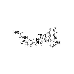 Cc1c(NC(=O)c2cc(C(N)=O)nc3cc(F)ccc23)c(C(F)(F)F)nn1Cc1ccc(C(=O)NCCO)cc1